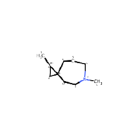 C[C@@H]1CC12CCCN(C)CC2